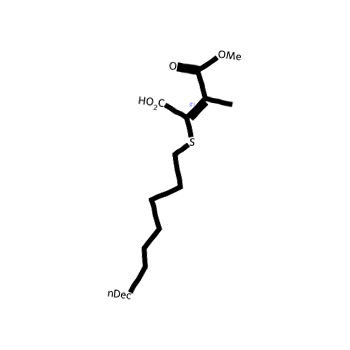 CCCCCCCCCCCCCCCCS/C(C(=O)O)=C(\C)C(=O)OC